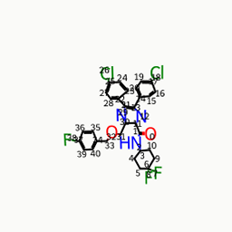 O=C(NC1CCC(F)(F)CC1)c1nc(-c2ccc(Cl)cc2)c(-c2ccc(Cl)cc2)nc1COCc1ccc(F)cc1